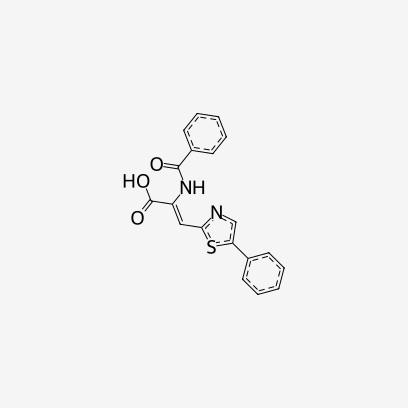 O=C(O)C(=Cc1ncc(-c2ccccc2)s1)NC(=O)c1ccccc1